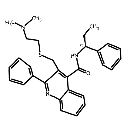 CC[C@H](NC(=O)c1c(CSCCN(C)C)c(-c2ccccc2)nc2ccccc12)c1ccccc1